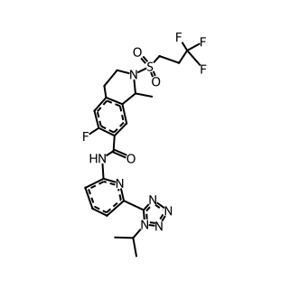 CC1c2cc(C(=O)Nc3cccc(-c4nnnn4C(C)C)n3)c(F)cc2CCN1S(=O)(=O)CCC(F)(F)F